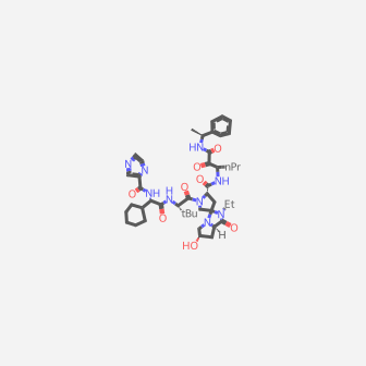 CCCC(NC(=O)[C@@H]1CC2(CN1C(=O)[C@@H](NC(=O)[C@@H](NC(=O)c1cnccn1)C1CCCCC1)C(C)(C)C)N(CC)C(=O)[C@H]1C[C@@H](O)CN12)C(=O)C(=O)N[C@@H](C)c1ccccc1